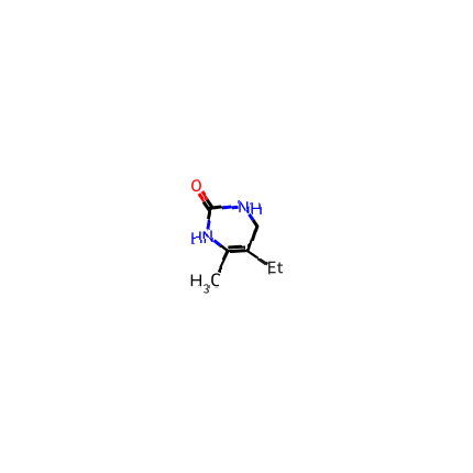 CCC1=C(C)NC(=O)NC1